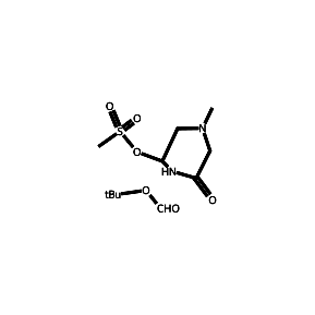 CC(C)(C)OC=O.CN1CC(=O)NC(OS(C)(=O)=O)C1